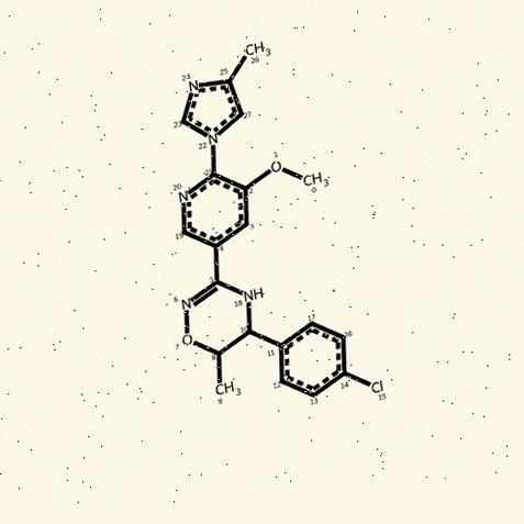 COc1cc(C2=NOC(C)C(c3ccc(Cl)cc3)N2)cnc1-n1cnc(C)c1